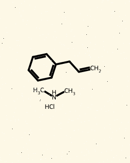 C=CCc1ccccc1.CNC.Cl